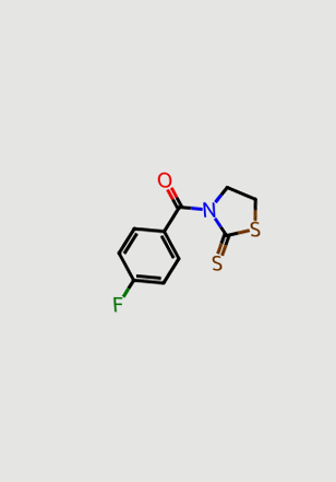 O=C(c1ccc(F)cc1)N1CCSC1=S